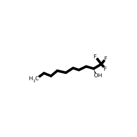 CCCCCCCC[C@@H](O)C(F)(F)F